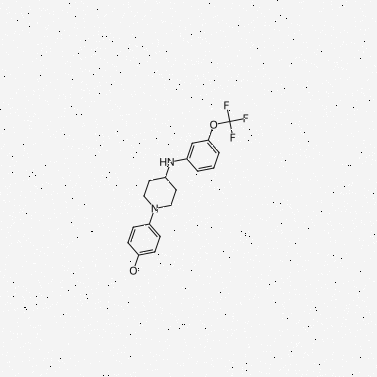 [O]c1ccc(N2CCC(Nc3cccc(OC(F)(F)F)c3)CC2)cc1